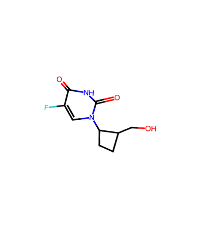 O=c1[nH]c(=O)n(C2CCC2CO)cc1F